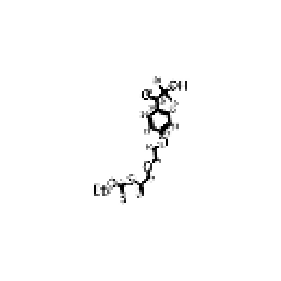 CCOC(=S)SC(C)COCCOc1ccc(C(=O)C(C)(C)O)cc1